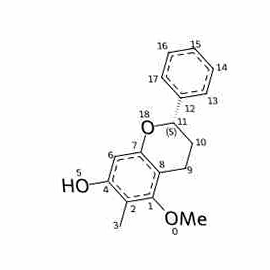 COc1c(C)c(O)cc2c1CC[C@@H](c1ccccc1)O2